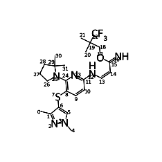 Cc1nn(C)cc1Sc1ccc(N/C=C\C(=N)OCC(C)(C)C(F)(F)F)nc1N1CCCC1(C)C